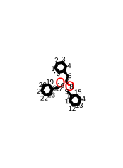 [c]1ccccc1CC(OCc1ccccc1)OCc1ccccc1